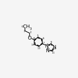 CCCOc1ccc(-n2cncn2)cc1